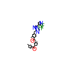 Cc1cc(Cc2nccn3c(C4=CCN=C4C(F)(F)F)cnc23)ccc1C(=O)C[C@@H]1CCC(C(=O)[C@H]2CCC(C)C2)C1